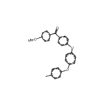 COc1ccc(C(=O)c2ccc(Oc3ccc(Oc4ccc(C)cc4)cc3)cc2)cc1